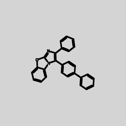 c1ccc(-c2ccc(-c3c(-c4ccccc4)nc4oc5ccccc5n34)cc2)cc1